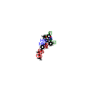 C/N=C\[C@@]1(c2ccc(Cl)cc2F)C(c2cccc(Cl)c2F)[C@H](C(=O)Nc2ccc(C(=O)OC(C)OC(=O)OC(C)C)cc2OC)N[C@H]1CC(C)(C)C